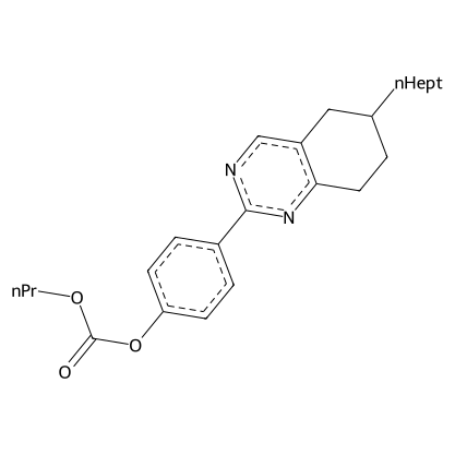 CCCCCCCC1CCc2nc(-c3ccc(OC(=O)OCCC)cc3)ncc2C1